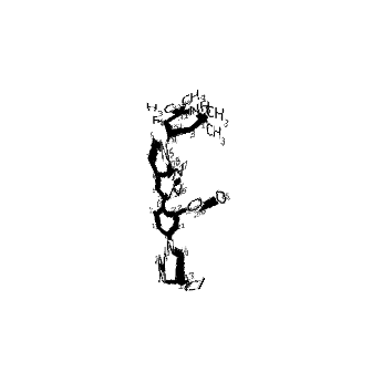 CC1(C)C[C@H](n2ccc3cc(-c4ccc(-n5cc(Cl)nn5)cc4OC=O)nnc32)[C@H](F)C(C)(C)N1